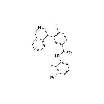 Cc1c(NC(=O)c2ccc(F)c(-c3cncc4ccccc34)c2)cccc1C(C)C